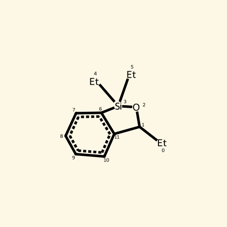 CCC1O[Si](CC)(CC)c2ccccc21